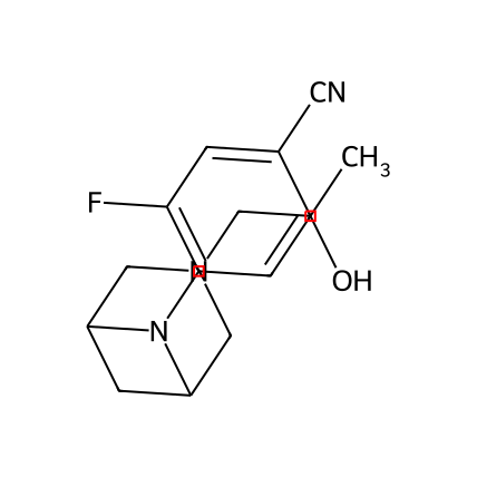 CC(O)CN1CC2CC(C1)N2c1ccc(C#N)cc1F